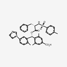 Cc1ccc(S(=O)(=O)N[C@@H](Cc2ccccc2)C(=O)O[C@@H](c2cc(-n3ccnc3)ccc2C)c2c(C)cc(C(=O)O)cc2C)cc1